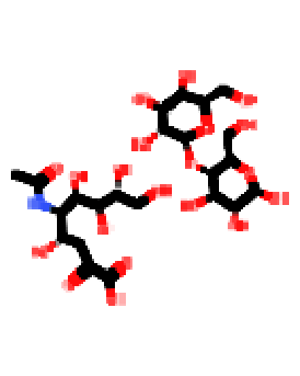 CC(=O)N[C@@H]([C@@H](O)[C@H](O)[C@H](O)CO)[C@@H](O)CC(=O)C(=O)O.OC[C@H]1O[C@@H](O[C@H]2[C@H](O)[C@@H](O)[C@H](O)O[C@@H]2CO)[C@H](O)[C@@H](O)[C@H]1O